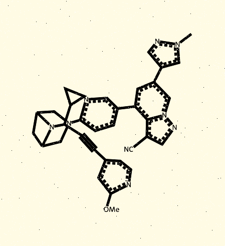 COc1cc(C#CC(C2CC2)N2C3CC2CN(c2ccc(-c4cc(-c5cnn(C)c5)cn5ncc(C#N)c45)cn2)C3)ccn1